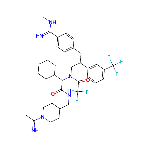 CNC(=N)c1ccc(CC(CN(C(=O)C(F)(F)F)C(C(=O)NCC2CCN(C(C)=N)CC2)C2CCCCC2)c2cccc(C(F)(F)F)c2)cc1